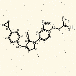 C=C(C)COc1ccc(N2CC=C(Oc3ccc(C4CC4)cc3)C2=O)cc1OC